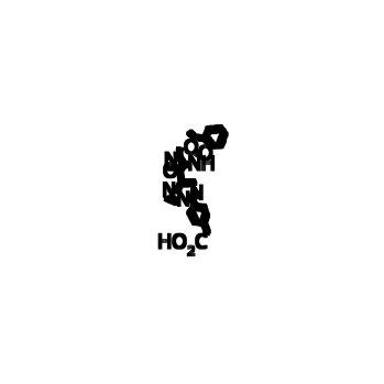 Cc1noc(-c2cnc(-c3ccc(CC(=O)O)cc3)n3ccnc23)c1NC(=O)OC(C)c1ccccc1